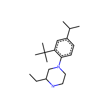 CCC1CN(c2ccc(C(C)C)cc2C(C)(C)C)CC[N]1